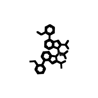 CCc1ccccc1-c1cccc2c1C=C(C(C)C)[CH]2[Zr]([CH]1C(C(C)C)=Cc2c(-c3ccccc3CC)cccc21)[SiH](C)C